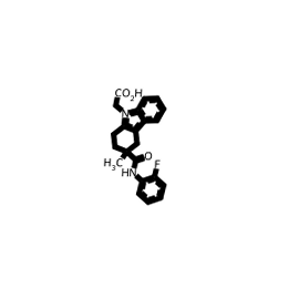 CC1(C(=O)Nc2ccccc2F)CCc2c(c3ccccc3n2CC(=O)O)C1